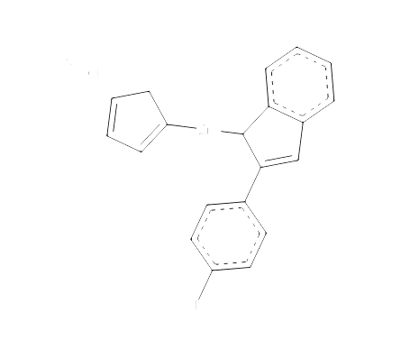 Ic1ccc(C2=Cc3ccccc3[CH]2[Zr+2][C]2=CC=CC2)cc1.[Cl-].[Cl-]